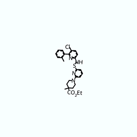 CCOC(=O)C1(C)CCN(c2cccc(SNc3ccc(Cl)c(-c4ccccc4C)n3)n2)CC1